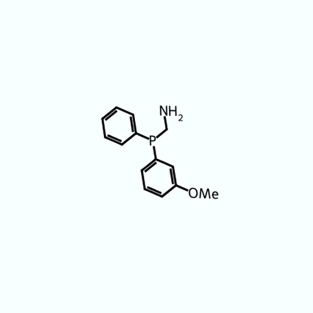 COc1cccc(P(CN)c2ccccc2)c1